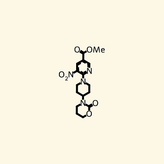 COC(=O)c1cnc(N2CCC(N3CCCOC3=O)CC2)c([N+](=O)[O-])c1